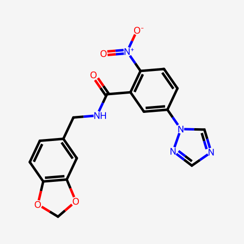 O=C(NCc1ccc2c(c1)OCO2)c1cc(-n2cncn2)ccc1[N+](=O)[O-]